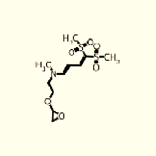 CN(/C=C/C=C(S(C)(=O)=O)S(C)(=O)=O)CCOC1CO1